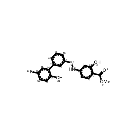 COC(=O)c1ccc(NSc2cccc(-c3cc(F)ccc3O)c2)cc1O